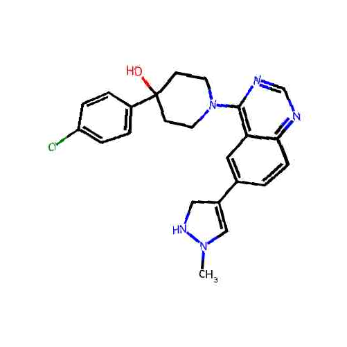 CN1C=C(c2ccc3ncnc(N4CCC(O)(c5ccc(Cl)cc5)CC4)c3c2)CN1